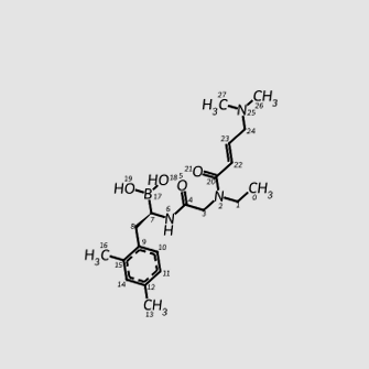 CCN(CC(=O)N[C@@H](Cc1ccc(C)cc1C)B(O)O)C(=O)/C=C/CN(C)C